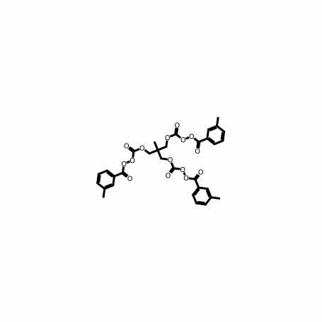 Cc1cccc(C(=O)OOC(=O)OCC(C)(COC(=O)OOC(=O)c2cccc(C)c2)COC(=O)OOC(=O)c2cccc(C)c2)c1